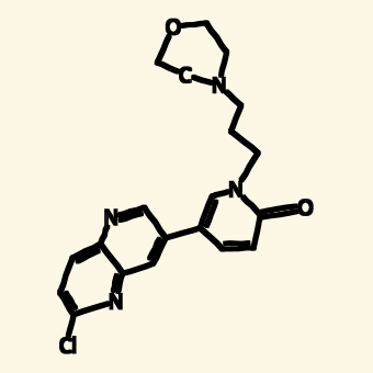 O=c1ccc(-c2cnc3ccc(Cl)nc3c2)cn1CCCN1CCOCC1